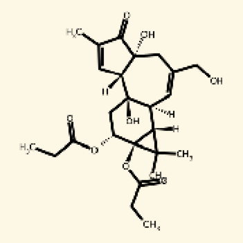 CCC(=O)O[C@@H]1C[C@@]2(O)[C@@H](C=C(CO)C[C@]3(O)C(=O)C(C)=C[C@@H]23)[C@@H]2C(C)(C)[C@@]21OC(=O)CC